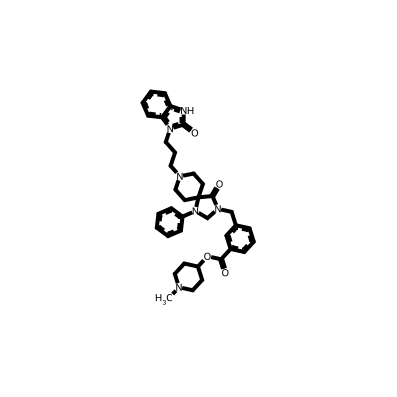 CN1CCC(OC(=O)c2cccc(CN3CN(c4ccccc4)C4(CCN(CCCn5c(=O)[nH]c6ccccc65)CC4)C3=O)c2)CC1